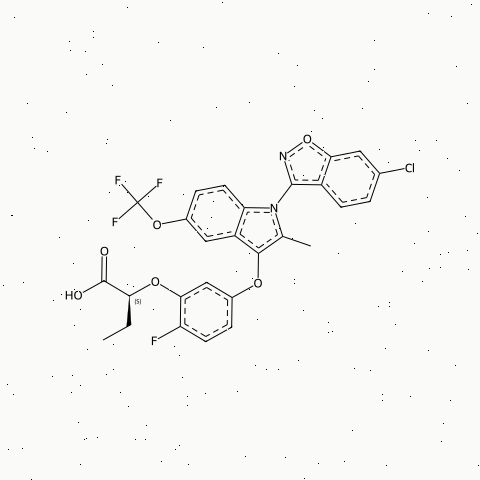 CC[C@H](Oc1cc(Oc2c(C)n(-c3noc4cc(Cl)ccc34)c3ccc(OC(F)(F)F)cc23)ccc1F)C(=O)O